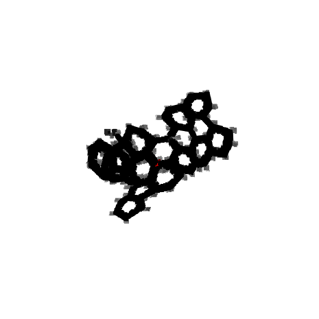 CC1(C)c2ccccc2-c2ccc(-c3ccccc3N(c3ccccc3-c3cccc4cccc(-c5ccccc5)c34)c3ccccc3-c3cccc4c5ccccc5n(-c5ccccc5)c34)cc21